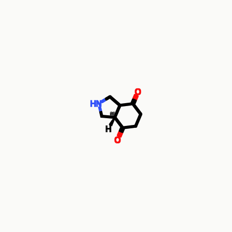 O=C1CCC(=O)[C@@H]2CNC[C]12